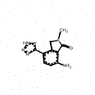 CN1Cc2c(-c3nn[nH]n3)ccc(N)c2C1=O